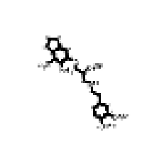 COc1ccc(CCNCC(O)COc2cc3c(c([N+](=O)[O-])c2N)CCC3)cc1OC.Cl